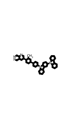 Cc1cc(-c2ccc(-n3c4ccccc4c4cc(-n5c6ccccc6c6ccccc65)ccc43)cc2)ccc1-c1cnc2cnncc2c1